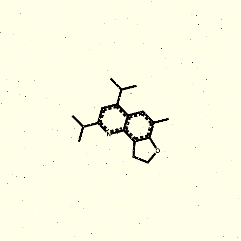 Cc1cc2c(C(C)C)cc(C(C)C)nc2c2c1OCC2